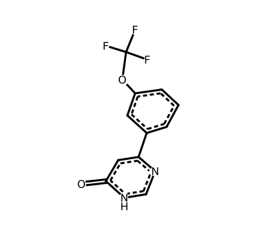 O=c1cc(-c2cccc(OC(F)(F)F)c2)nc[nH]1